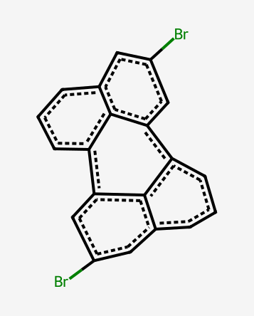 Brc1cc2cccc3c4cc(Br)cc5cccc(c(c1)c23)c54